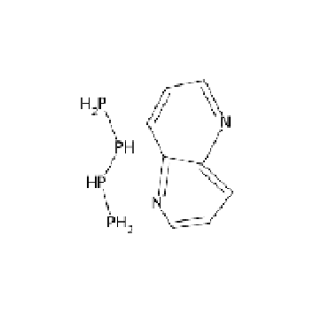 PPPP.c1cnc2cccnc2c1